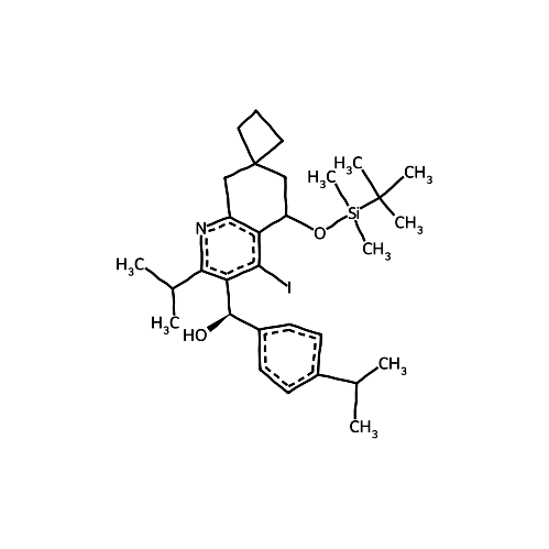 CC(C)c1ccc([C@@H](O)c2c(C(C)C)nc3c(c2I)C(O[Si](C)(C)C(C)(C)C)CC2(CCC2)C3)cc1